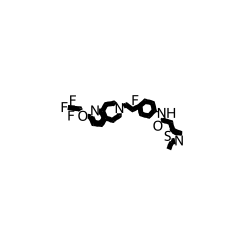 Cc1ncc(CC(=O)N[C@H]2CC[C@](F)(CCN3CCc4ccc(OCC(F)(F)F)nc4CC3)CC2)s1